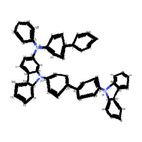 c1ccc(-c2ccc(N(c3ccccc3)c3ccc4c5ccccc5n(-c5ccc(-c6ccc(-n7c8ccccc8c8ccccc87)cc6)cc5)c4c3)cc2)cc1